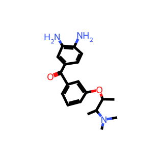 CC(Oc1cccc(C(=O)c2ccc(N)c(N)c2)c1)C(C)N(C)C